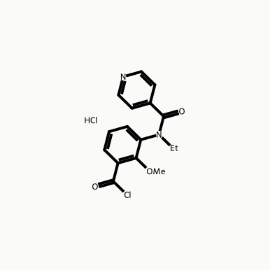 CCN(C(=O)c1ccncc1)c1cccc(C(=O)Cl)c1OC.Cl